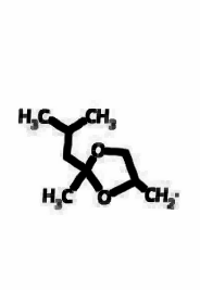 [CH2]C1COC(C)(CC(C)C)O1